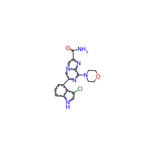 NC(=O)c1cn2cc(-c3cccc4[nH]cc(Cl)c34)nc(N3CCOCC3)c2n1